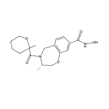 C[C@H]1COc2cc(C(=O)NO)ccc2CN1C(=O)C1(C)CCCCO1